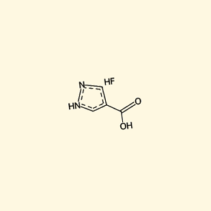 F.O=C(O)c1cn[nH]c1